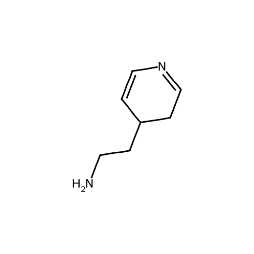 NCCC1C=CN=CC1